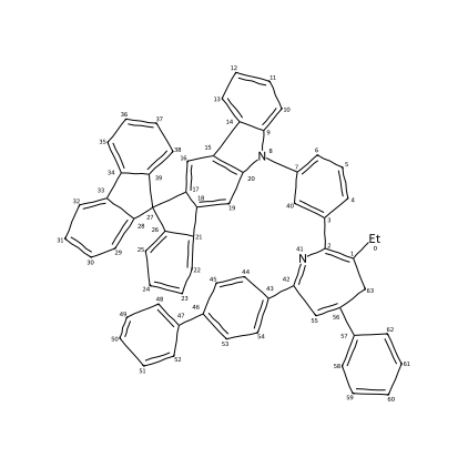 CCC1=C(c2cccc(-n3c4ccccc4c4cc5c(cc43)-c3ccccc3C53c4ccccc4-c4ccccc43)c2)N=C(c2ccc(-c3ccccc3)cc2)C=C(c2ccccc2)C1